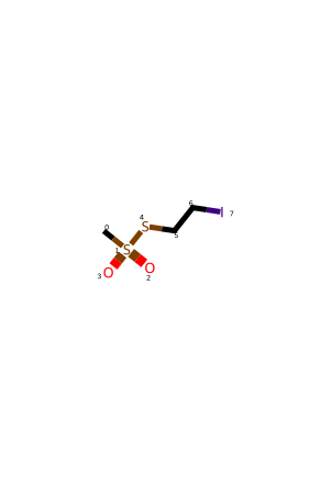 CS(=O)(=O)SCCI